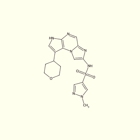 Cn1cc(S(=O)(=O)Nc2cn3c(cnc4[nH]cc(C5CCOCC5)c43)n2)cn1